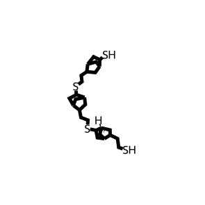 SCCC1C[C@H]2CC1CC2SCCC1CC2CC1CC2SCCC1CC2CC1CC2S